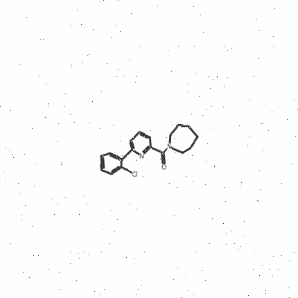 O=C(c1cccc(-c2ccccc2Cl)n1)N1CCCCCC1